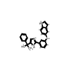 CC(O)(c1ccccc1)c1cnc(-c2cccc(Sc3ccc4[nH]ccc4c3)c2)[nH]1